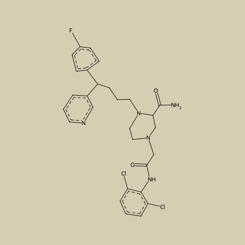 NC(=O)C1CN(CC(=O)Nc2c(Cl)cccc2Cl)CCN1CCCC(c1ccc(F)cc1)c1cccnc1